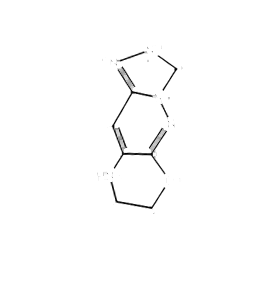 C1=C2NCCOC2=NN2CNN=C12